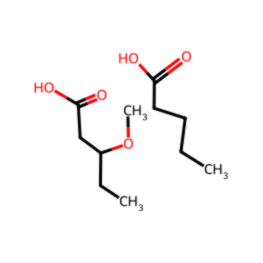 CCC(CC(=O)O)OC.CCCCC(=O)O